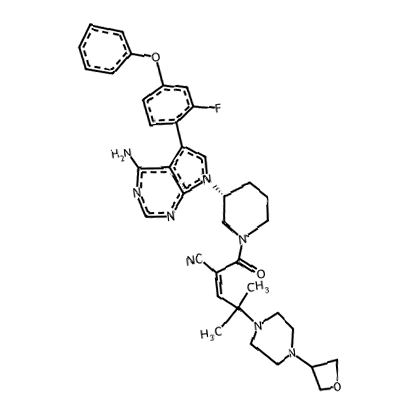 CC(C)(/C=C(/C#N)C(=O)N1CCC[C@@H](n2cc(-c3ccc(Oc4ccccc4)cc3F)c3c(N)ncnc32)C1)N1CCN(C2COC2)CC1